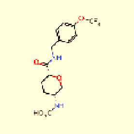 O=C(O)N[C@@H]1CC[C@H](C(=O)NCc2ccc(OC(F)(F)F)cc2)OC1